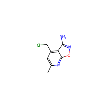 Cc1cc(CCl)c2c(N)noc2n1